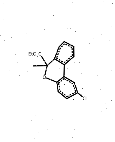 CCOC(=O)C1(C)Oc2ccc(Cl)cc2-c2ccccc21